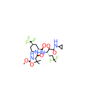 COC(=O)N[C@H](C(=O)N1CC[C@@H](C(F)(F)F)C[C@H]1C(=O)N[C@@H](CCC(C)(F)F)C(=O)C(=O)NC1CC1)C(C)(C)C